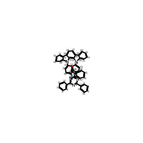 c1ccc(-c2nc(-c3ccccc3)nc(-c3ccc(-n4c5ccccc5c5ccc6c7ccccc7n(-c7ccc8oc9ccccc9c8c7)c6c54)cc3)n2)cc1